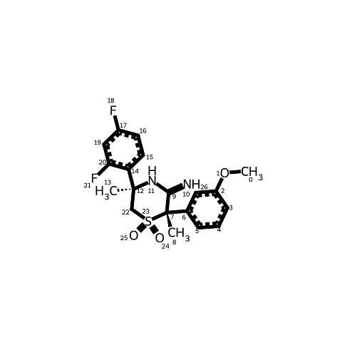 COc1cccc([C@@]2(C)C(=N)N[C@](C)(c3ccc(F)cc3F)CS2(=O)=O)c1